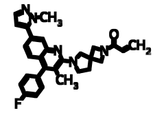 C=CC(=O)N1CC2(CCN(c3nc4cc(-c5ccnn5C)ccc4c(-c4ccc(F)cc4)c3C)C2)C1